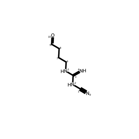 N#CNC(=N)NCCC[C]=O